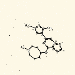 CC(=O)N1CCC[C@H](Oc2nc(-c3cn(C)nc3C)cn3nccc23)CC1